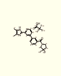 Cc1nc(-c2cc(-c3cncc(C(=O)N4CCC(F)(F)C4)c3)ccn2)[nH]c1C.O=C(O)C(F)(F)F